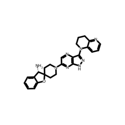 N[C@H]1c2ccccc2OC12CCN(c1cnc3c(N4CCCc5ncccc54)n[nH]c3n1)CC2